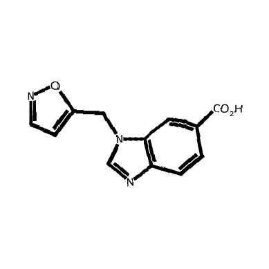 O=C(O)c1ccc2ncn(Cc3ccno3)c2c1